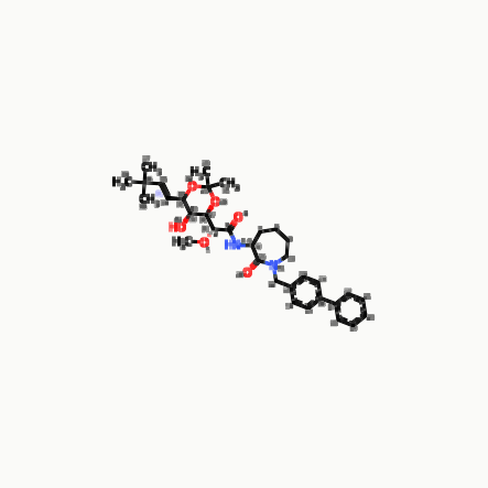 CO[C@@H](C(=O)N[C@H]1CCCCN(Cc2ccc(-c3ccccc3)cc2)C1=O)[C@@H]1OC(C)(C)O[C@H](/C=C/C(C)(C)C)[C@@H]1O